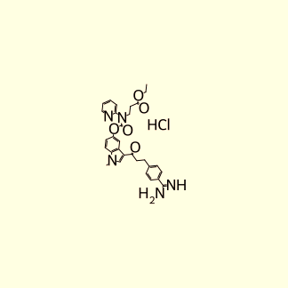 CCOC(=O)CCN(C(=O)Oc1ccc2c(c1)c(C(=O)CCc1ccc(C(=N)N)cc1)cn2C)c1ccccn1.Cl